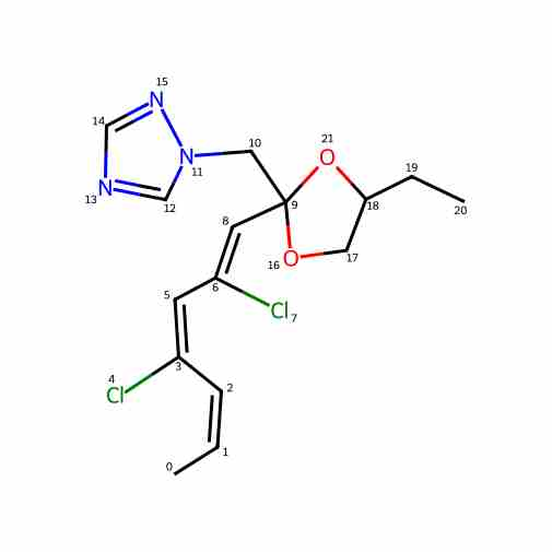 C\C=C/C(Cl)=C\C(Cl)=C\C1(Cn2cncn2)OCC(CC)O1